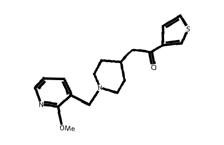 COc1ncccc1CN1CCC(CC(=O)c2ccsc2)CC1